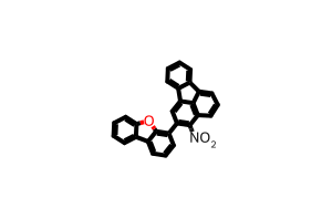 O=[N+]([O-])c1c(-c2cccc3c2oc2ccccc23)cc2c3c(cccc13)-c1ccccc1-2